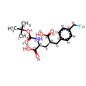 CC(C)(C)OC(=O)N[C@@H](C[C@H](Cc1ccc(CF)cc1)C(=O)O)C(=O)O